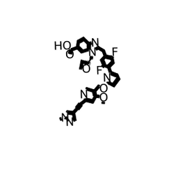 COc1cc(C#Cc2cnn(C)c2)ncc1COc1cccc(-c2cc(F)c(Cc3nc4ccc(C(=O)O)cc4n3C[C@@H]3CCO3)cc2F)n1